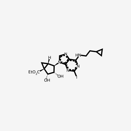 CCOC(=O)[C@@]12C[C@@H]1[C@@H](n1cnc3c(NCCC4CC4)nc(I)nc31)[C@H](O)[C@@H]2O